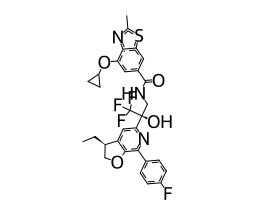 CC[C@@H]1COc2c1cc([C@@](O)(CNC(=O)c1cc(OC3CC3)c3nc(C)sc3c1)C(F)(F)F)nc2-c1ccc(F)cc1